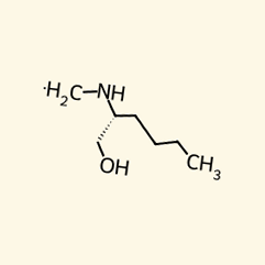 [CH2]N[C@@H](CO)CCCC